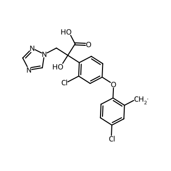 [CH2]c1cc(Cl)ccc1Oc1ccc(C(O)(Cn2cncn2)C(=O)O)c(Cl)c1